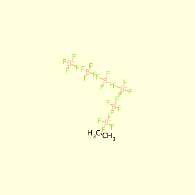 CC.F[B-](F)(F)F.F[B-](F)(F)F.F[B-](F)(F)F.F[B-](F)(F)F.F[B-](F)(F)F.F[B-](F)(F)F